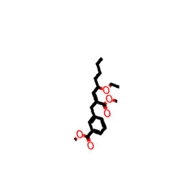 CCCCC(C=C(Cc1cccc(C(=O)OC)c1)C(=O)OC)OCC